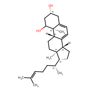 CC(C)=CCC[C@@H](C)[C@H]1CC[C@H]2C3=CC=C4C[C@@H](O)CC(O)[C@]4(C)[C@H]3CC[C@]12C